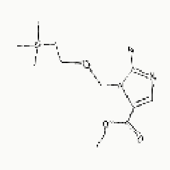 COC(=O)c1cnc(Br)n1COCC[Si](C)(C)C